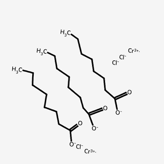 CCCCCCCC(=O)[O-].CCCCCCCC(=O)[O-].CCCCCCCC(=O)[O-].[Cl-].[Cl-].[Cl-].[Cr+3].[Cr+3]